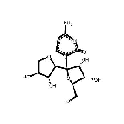 Nc1ccn([C@]2([C@@H]3OC[C@H](O)[C@H]3O)O[C@H](CO)[C@@H](O)[C@H]2O)c(=O)n1